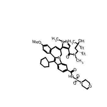 CC[C@@H](C[C@@](C)(O)CC)N(C)C(=O)c1cnn(C)c1C1=Cc2cc(OC)ccc2-c2c(C3CCCCC3)c3ccc(C(=O)NS(=O)(=O)N4CCOCC4)cc3n2C1